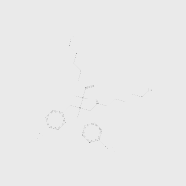 O=C(CCCCCBr)CC(Cc1ccc([N+](=O)[O-])cc1)(Cc1ccc([N+](=O)[O-])cc1)C(O)(O)C(=O)CCCCCBr